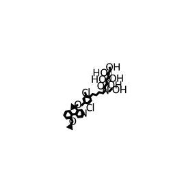 O=C([C@@H](O)[C@@H](O)[C@H](O)[C@@H](O)CO)N(CCO)CCCCc1cc(Cl)c(COC2(c3cnccc3-c3ccccc3OC3CC3)CC2)cc1Cl